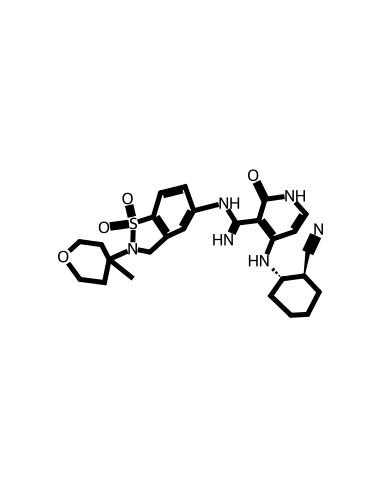 CC1(N2Cc3cc(NC(=N)c4c(N[C@H]5CCCC[C@@H]5C#N)cc[nH]c4=O)ccc3S2(=O)=O)CCOCC1